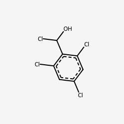 OC(Cl)c1c(Cl)cc(Cl)cc1Cl